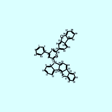 c1ccc(-c2cc(-n3c4ccccc4c4c5sc6ccccc6c5ccc43)nc(-c3ccc4c(c3)oc3ccccc34)n2)cc1